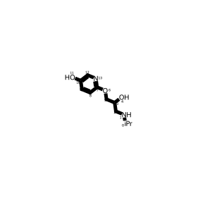 CC(C)NCC(O)COc1ccc(O)cn1